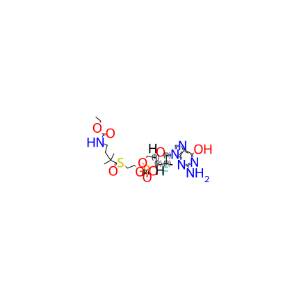 CCOC(=O)NCCC(C)(C)C(=O)SCCO[P@@]1(=O)OC[C@H]2O[C@@H](n3cnc4c(O)nc(N)nc43)[C@](C)(F)[C@@H]2O1